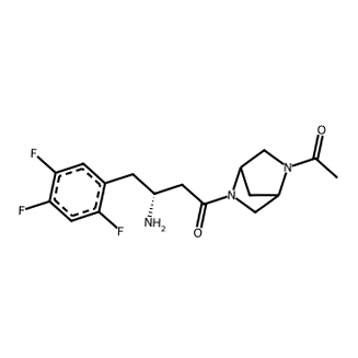 CC(=O)N1CC2CC1CN2C(=O)C[C@H](N)Cc1cc(F)c(F)cc1F